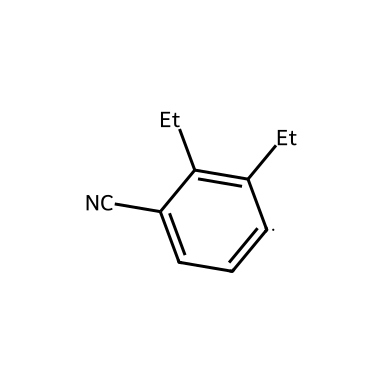 CCc1[c]ccc(C#N)c1CC